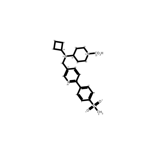 CS(=O)(=O)c1ccc(-c2ccc(CN(C3CCC3)C3CCN(C(=O)O)CC3)cn2)cc1